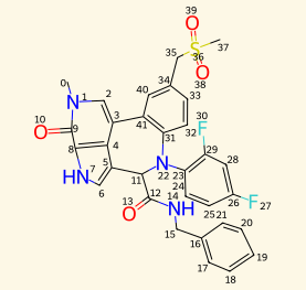 Cn1cc2c3c(c[nH]c3c1=O)C(C(=O)NCc1ccccc1)N(c1ccc(F)cc1F)c1ccc(CS(C)(=O)=O)cc1-2